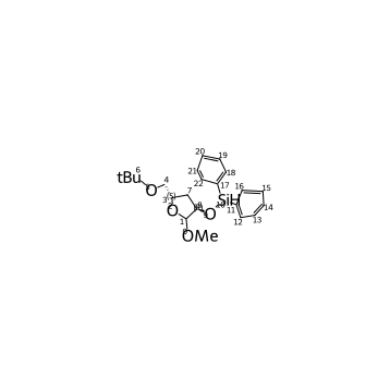 COC1O[C@H](COC(C)(C)C)C[C@H]1O[SiH](c1ccccc1)c1ccccc1